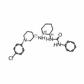 O=C(Nc1ccccc1)N[C@@H]1CCCC[C@H]1N[C@H]1CCCN(c2ccc(Cl)cc2)C1